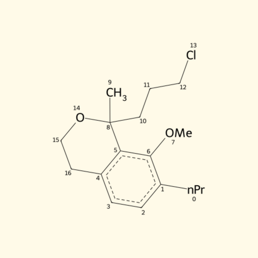 CCCc1ccc2c(c1OC)C(C)(CCCCl)OCC2